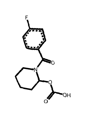 O=C(O)OC1CCCCN1C(=O)c1ccc(F)cc1